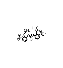 C=CCc1c(OC(=O)Oc2cccc([N+](=O)[O-])c2CC=C)cccc1[N+](=O)[O-]